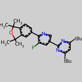 CC(C)(C)c1cc(C(C)(C)C)nc(-c2cnc(-c3ccc4c(c3)C(C)(C)OC4(C)C)c(F)c2)n1